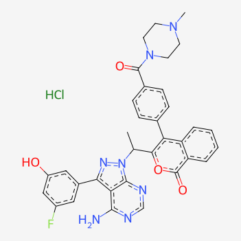 CC(c1oc(=O)c2ccccc2c1-c1ccc(C(=O)N2CCN(C)CC2)cc1)n1nc(-c2cc(O)cc(F)c2)c2c(N)ncnc21.Cl